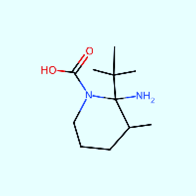 CC1CCCN(C(=O)O)C1(N)C(C)(C)C